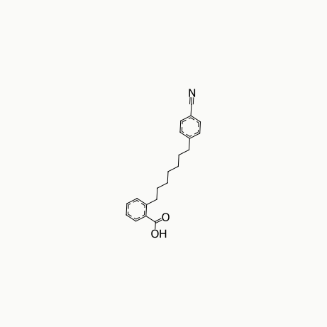 N#Cc1ccc(CCCCCCCc2ccccc2C(=O)O)cc1